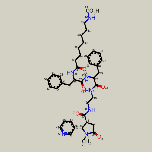 CN1C(=O)C[C@H](C(=O)NCCNC(=O)C(Cc2ccccc2)NC(=O)C(Cc2ccccc2)NC(=O)CCCCCCCNC(=O)O)[C@H]1c1cccnc1